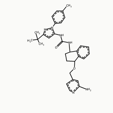 Cc1ccc(-n2nc(C(C)(C)C)cc2NC(=O)NC2CCC(OCc3ccnc(N)c3)c3ccccc32)cc1